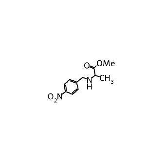 COC(=O)C(C)NCc1ccc([N+](=O)[O-])cc1